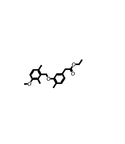 CCOC(=O)Cc1ccc(C)c(OCc2c(C)ccc(OC)c2C)c1